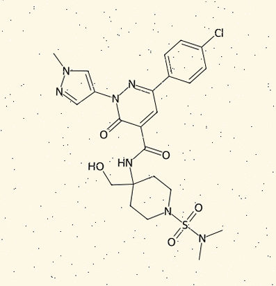 CN(C)S(=O)(=O)N1CCC(CO)(NC(=O)c2cc(-c3ccc(Cl)cc3)nn(-c3cnn(C)c3)c2=O)CC1